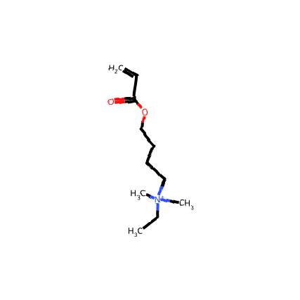 C=CC(=O)OCCCC[N+](C)(C)CC